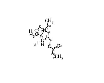 C=CC(=O)OCC(O)C[N+](CC)(CC)CC.[I-]